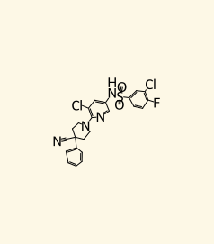 N#CC1(c2ccccc2)CCN(c2ncc(NS(=O)(=O)c3ccc(F)c(Cl)c3)cc2Cl)CC1